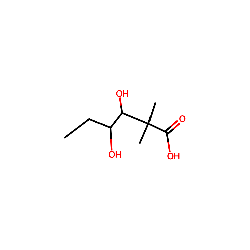 CCC(O)C(O)C(C)(C)C(=O)O